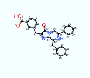 O=C(O)c1cccc(Cc2nc3c(Cc4ccccc4)[nH]c(-c4ccccc4)cn-3c2=O)c1